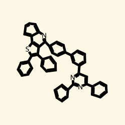 c1ccc(-c2cc(-c3cccc(-c4ccc(-c5nc6ccccc6c6sc(-c7ccccc7)c(-c7ccccc7)c56)cc4)c3)nc(-c3ccccc3)n2)cc1